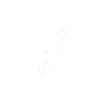 O=c1ccc2cc(OC[C@H](O)CN3CCN(c4ccc5ccccc5c4)CC3)ccc2[nH]1